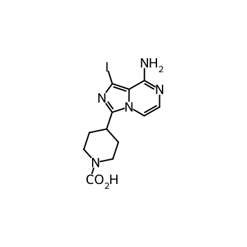 Nc1nccn2c(C3CCN(C(=O)O)CC3)nc(I)c12